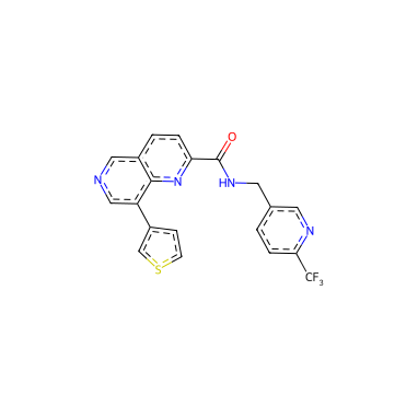 O=C(NCc1ccc(C(F)(F)F)nc1)c1ccc2cncc(-c3ccsc3)c2n1